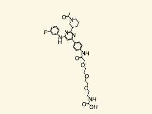 CC(=O)N1CCCC(c2nc(Nc3cccc(F)c3)cc(-c3ccc(NC(=O)COCCOCCOCCNC(=O)O)cc3)n2)C1